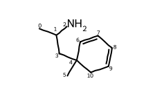 CC(N)CC1(C)C=CC=CC1